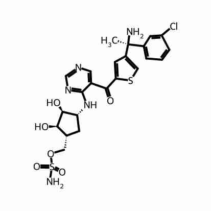 C[C@](N)(c1cccc(Cl)c1)c1csc(C(=O)c2cncnc2N[C@@H]2C[C@H](COS(N)(=O)=O)[C@@H](O)[C@H]2O)c1